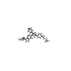 CN(C)CCOc1ccc(-c2cc(-c3ccc4c(c3)CC/C4=N\O)c(-c3ccncc3)o2)cc1